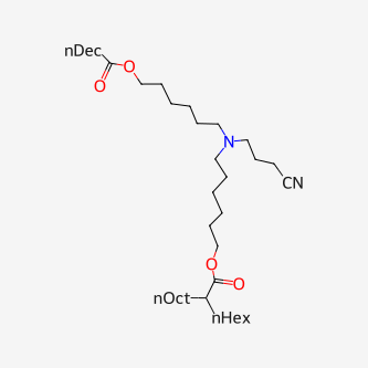 CCCCCCCCCCC(=O)OCCCCCCN(CCCC#N)CCCCCCOC(=O)C(CCCCCC)CCCCCCCC